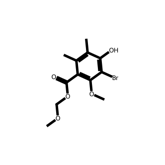 COCOC(=O)c1c(C)c(C)c(O)c(Br)c1OC